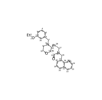 CCOc1cccc(CN2CCO[C@@H](C(=O)N(Cc3cccc4cccnc34)CC(C)C)C2)c1